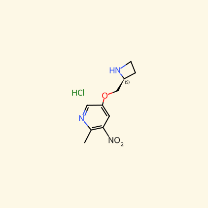 Cc1ncc(OC[C@@H]2CCN2)cc1[N+](=O)[O-].Cl